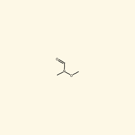 CON(C)[C]=O